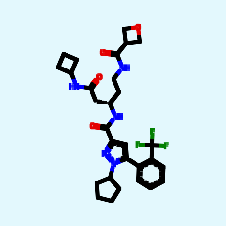 O=C(C[C@H](CCNC(=O)C1COC1)NC(=O)c1cc(-c2ccccc2C(F)(F)F)n(C2CCCC2)n1)NC1CCC1